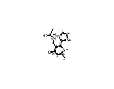 CC(=O)NCc1c(-c2nccs2)[nH]c(C)cc1=O